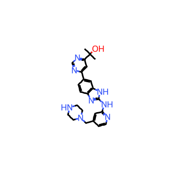 CC(C)(O)c1cc(-c2ccc3nc(Nc4cc(CN5CCNCC5)ccn4)[nH]c3c2)ncn1